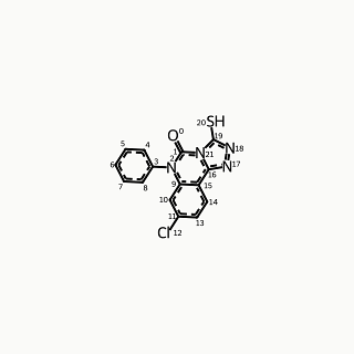 O=c1n(-c2ccccc2)c2cc(Cl)ccc2c2nnc(S)n12